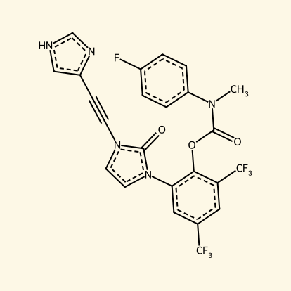 CN(C(=O)Oc1c(-n2ccn(C#Cc3c[nH]cn3)c2=O)cc(C(F)(F)F)cc1C(F)(F)F)c1ccc(F)cc1